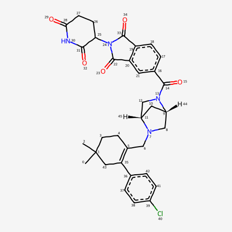 CC1(C)CCC(CN2C[C@@H]3C[C@H]2CN3C(=O)c2ccc3c(c2)C(=O)N(C2CCC(=O)NC2=O)C3=O)=C(c2ccc(Cl)cc2)C1